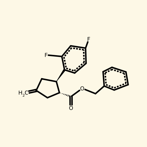 C=C1C[C@@H](C(=O)OCc2ccccc2)[C@H](c2ccc(F)cc2F)C1